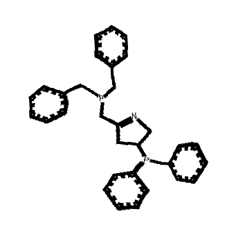 c1ccc(CP(CC2=NCC(P(c3ccccc3)c3ccccc3)C2)Cc2ccccc2)cc1